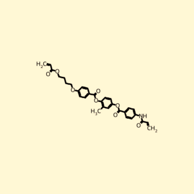 C=CC(=O)Nc1ccc(C(=O)Oc2ccc(OC(=O)c3ccc(OCCCCOC(=O)C=C)cc3)c(C)c2)cc1